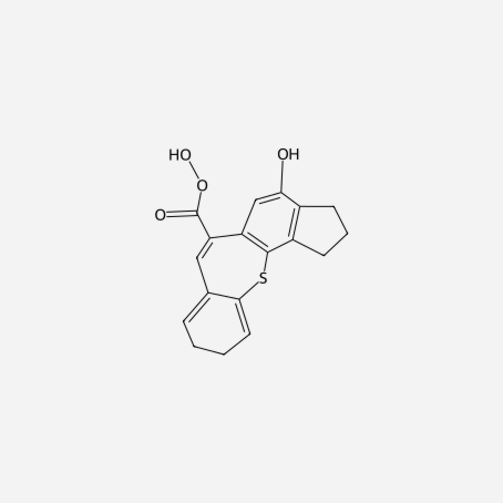 O=C(OO)C1=CC2=CCCC=C2Sc2c1cc(O)c1c2CCC1